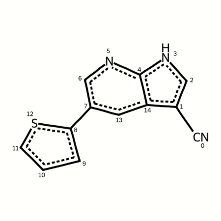 N#Cc1c[nH]c2ncc(-c3cccs3)cc12